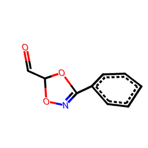 O=CC1ON=C(c2ccccc2)O1